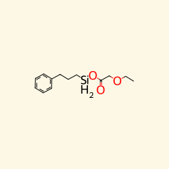 CCOCC(=O)O[SiH2]CCCc1ccccc1